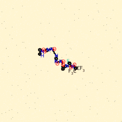 CN(CCN1CCC(OC(=O)Nc2ccccc2-c2ccccc2)CC1)C(=O)CCCCCN(C)c1ccc(N(C)C(=O)CCN(C)C(=O)CO[C@H]2Cc3ccccc3C23CCN(CC[C@@]2(c4ccc(F)cc4)CN(C(=O)c4cc(C(F)(F)F)cc(C(F)(F)F)c4)CO2)CC3)cc1